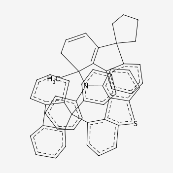 CC1(N(c2ccccc2)c2cccc3sc4cccc(C5(c6ccccc6)c6ccccc6-c6ccccc65)c4c23)CC=CC2=C1c1ccccc1C21CCCC1